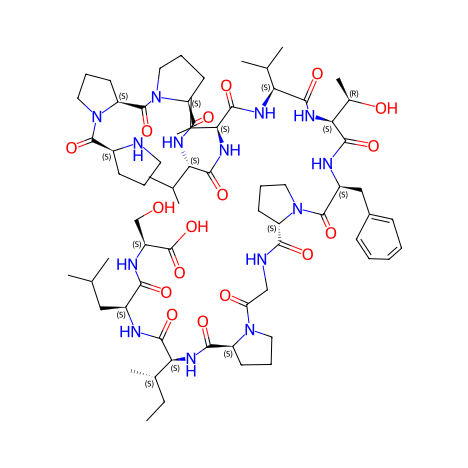 CC[C@H](C)[C@H](NC(=O)[C@@H]1CCCN1C(=O)CNC(=O)[C@@H]1CCCN1C(=O)[C@H](Cc1ccccc1)NC(=O)[C@@H](NC(=O)[C@@H](NC(=O)[C@@H](NC(=O)[C@@H](NC(=O)[C@@H]1CCCN1C(=O)[C@@H]1CCCN1C(=O)[C@@H]1CCCN1)C(C)C)C(C)C)C(C)C)[C@@H](C)O)C(=O)N[C@@H](CC(C)C)C(=O)N[C@@H](CO)C(=O)O